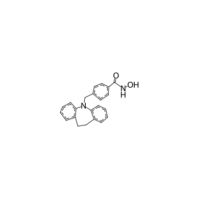 O=C(NO)c1ccc(CN2c3ccccc3CCc3ccccc32)cc1